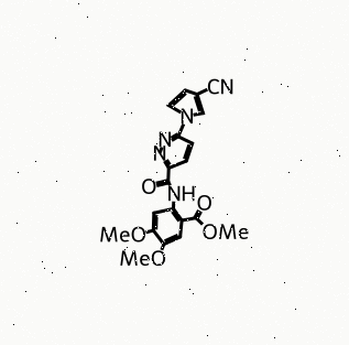 COC(=O)c1cc(OC)c(OC)cc1NC(=O)c1ccc(-n2ccc(C#N)c2)nn1